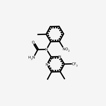 Cc1cccc([N+](=O)[O-])c1N(C(N)=O)c1nc(C)c(C)c(C(F)(F)F)n1